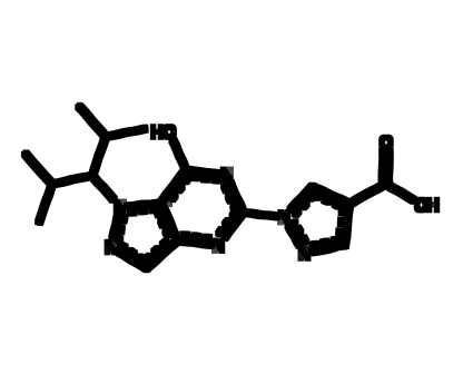 CC(C)C(C(C)C)n1ncc2nc(-n3cc(C(=O)O)cn3)nc(O)c21